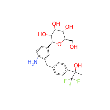 CC(O)(c1ccc(Cc2cc([C@@H]3O[C@H](CO)[C@@H](O)C(O)[C@H]3O)ccc2N)cc1)C(F)(F)F